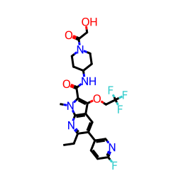 CCc1nc2c(cc1-c1ccc(F)nc1)c(OCC(F)(F)F)c(C(=O)NC1CCN(C(=O)CO)CC1)n2C